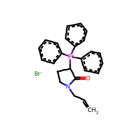 C=CCN1CCC([P+](c2ccccc2)(c2ccccc2)c2ccccc2)C1=O.[Br-]